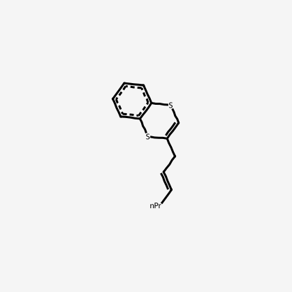 [CH2]CC/C=C/CC1=CSc2ccccc2S1